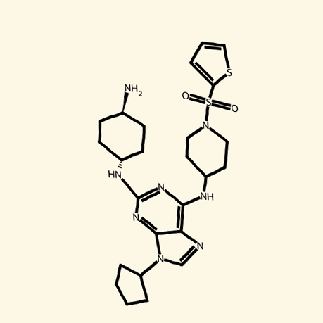 N[C@H]1CC[C@H](Nc2nc(NC3CCN(S(=O)(=O)c4cccs4)CC3)c3ncn(C4CCCC4)c3n2)CC1